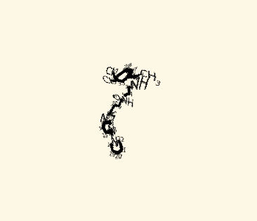 CC(NCCCNC(=O)CCc1nc2ccc(N3CCCCC3)nc2s1)c1ccc(Cl)c(Cl)c1